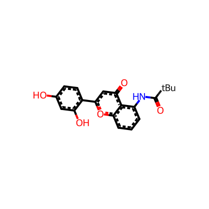 CC(C)(C)C(=O)Nc1cccc2oc(-c3ccc(O)cc3O)cc(=O)c12